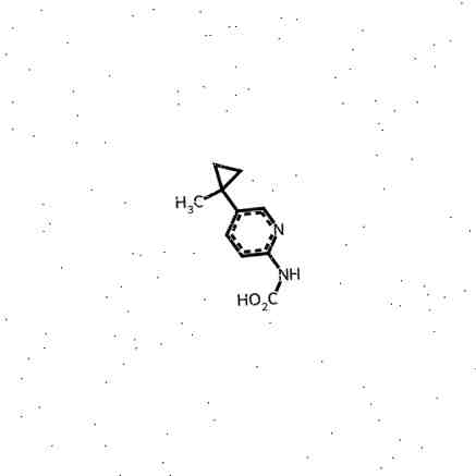 CC1(c2ccc(NC(=O)O)nc2)CC1